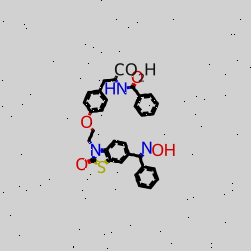 O=C(NC(Cc1ccc(OCCn2c(=O)sc3cc(/C(=N/O)c4ccccc4)ccc32)cc1)C(=O)O)c1ccccc1